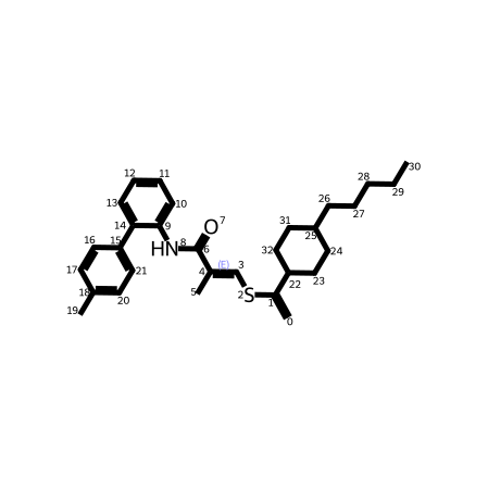 C=C(S/C=C(\C)C(=O)Nc1ccccc1-c1ccc(C)cc1)C1CCC(CCCCC)CC1